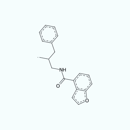 [CH2]C(CNC(=O)c1cccc2occc12)Cc1ccccc1